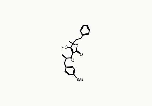 CC(Cc1ccc(C(C)(C)C)cc1)C(=O)C1=C(O)C(C)(CCc2ccccc2)OC1=O